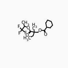 CCC(C)(COC(=O)C1CCCCC1)C(=O)OC(C)C(F)(F)F